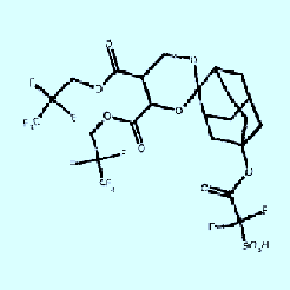 O=C(OCC(F)(F)C(F)(F)F)C1COC2(OC1C(=O)OCC(F)(F)C(F)(F)F)C1CC3CC2CC(OC(=O)C(F)(F)S(=O)(=O)O)(C3)C1